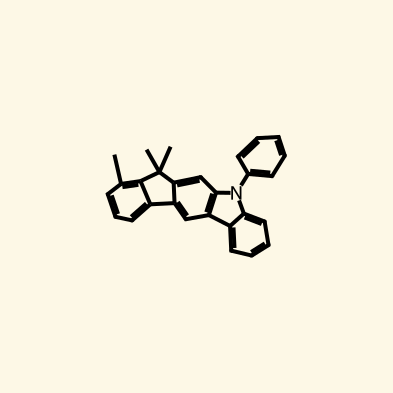 Cc1cccc2c1C(C)(C)c1cc3c(cc1-2)c1ccccc1n3-c1ccccc1